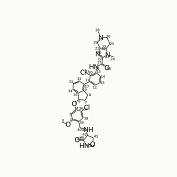 COc1cc(OC2CCc3c(-c4cccc(NC(=O)c5nc6c(n5C)CCN(C)C6)c4Cl)cccc32)c(Cl)cc1CNC1CONC1=O